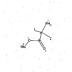 CC(C)(C)OC(=O)C(C)(C)P